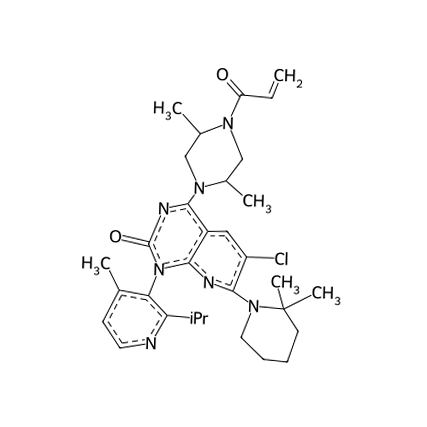 C=CC(=O)N1CC(C)N(c2nc(=O)n(-c3c(C)ccnc3C(C)C)c3nc(N4CCCCC4(C)C)c(Cl)cc23)CC1C